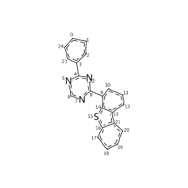 c1ccc(-c2ncnc(-c3cccc4c3sc3ccccc34)n2)cc1